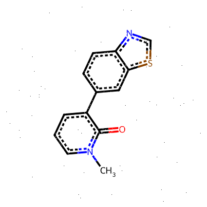 Cn1cccc(-c2ccc3ncsc3c2)c1=O